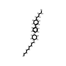 CCCCCCCCC[C@H]1CC[C@H](c2ccc(C3=CCC(CCCCC)CC3)cc2)CC1